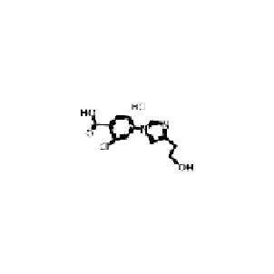 Cl.O=C(O)c1ccc(-n2cnc(CCO)c2)cc1Cl